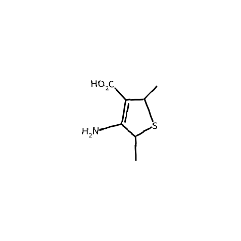 CC1SC(C)C(C(=O)O)=C1N